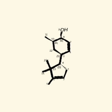 CC1=CC[C@@H]([C@@H]2C=C[C@H](O)[C@H](C)C2)C1(C)C